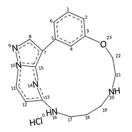 Cl.c1cc2cc(c1)-c1cnn3ccc(nc13)NCCCNCCO2